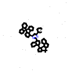 CC1(C)c2cccc(-c3ccc(-c4nc(-c5ccccc5)cc(-c5cccc6c5-c5ccccc5C6(c5ccccc5)c5ccccc5)n4)c4ccccc34)c2-c2c1ccc1ccccc21